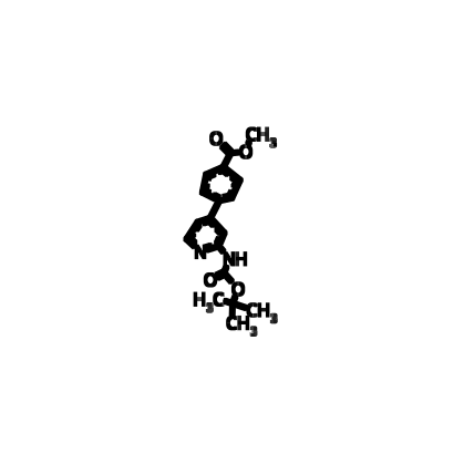 COC(=O)c1ccc(-c2ccnc(NC(=O)OC(C)(C)C)c2)cc1